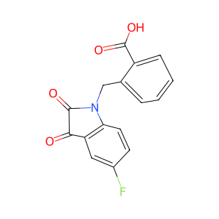 O=C(O)c1ccccc1CN1C(=O)C(=O)c2cc(F)ccc21